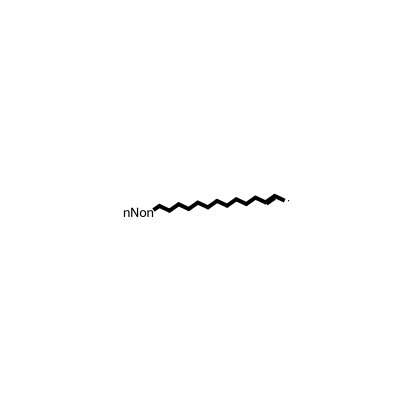 [CH2]C=CCCCCCCCCCCCCCCCCCCCC